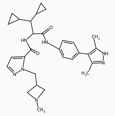 Cc1n[nH]c(C)c1-c1ccc(NC(=O)C(NC(=O)c2ccnn2CC2CN(C)C2)C(C2CC2)C2CC2)cc1